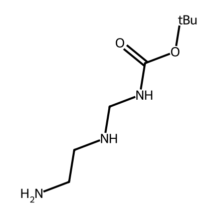 CC(C)(C)OC(=O)NCNCCN